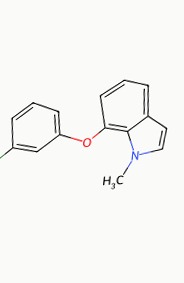 Cn1ccc2cccc(Oc3cccc(Cl)c3)c21